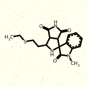 CCSCCC1NC2(C(=O)N(C)c3ccccc32)C2C(=O)NC(=O)C12